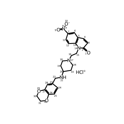 Cl.O=c1ccc2cc([N+](=O)[O-])ccc2n1CCN1CCC(NCc2ccc3c(c2)OCCO3)CC1